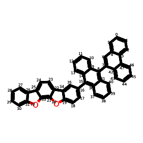 c1ccc2c(c1)cc(-c1c3ccccc3c(-c3ccc4oc5c(ccc6c7ccccc7oc65)c4c3)c3ccccc13)c1ccccc12